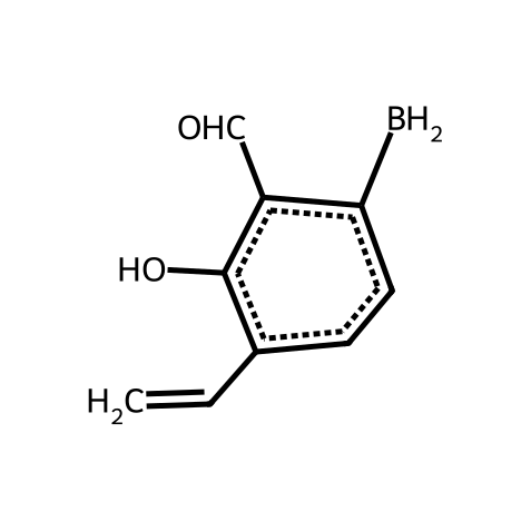 Bc1ccc(C=C)c(O)c1C=O